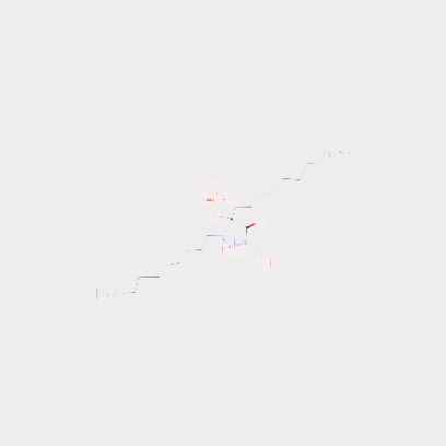 CCCCCCCCCCCCCCCCCCC(N)C(CCCCCCCCCCCCCCCCCC)(OP(=O)(O)O)C(=O)C(O)CO